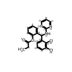 CCC(=O)Oc1ccccc1C(Nc1ncccn1)c1cccc(Cl)c1Cl